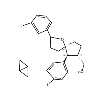 C1C2CC12.OC[C@H]1CC[C@@]2(CCC(c3cccc(F)c3)O2)[C@@H]1c1ccc(F)cc1